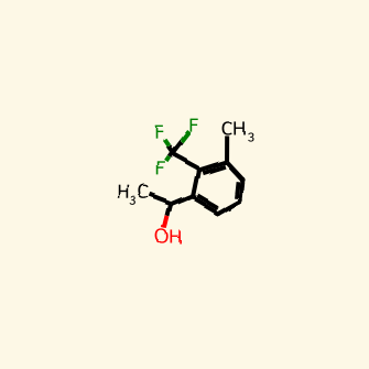 Cc1cccc(C(C)O)c1C(F)(F)F